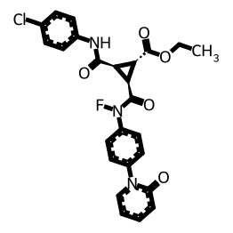 CCOC(=O)[C@H]1[C@H](C(=O)Nc2ccc(Cl)cc2)[C@@H]1C(=O)N(F)c1ccc(-n2ccccc2=O)cc1